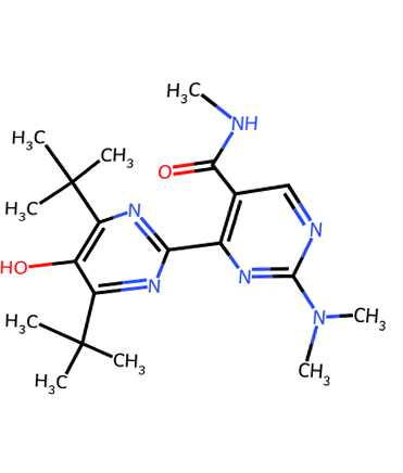 CNC(=O)c1cnc(N(C)C)nc1-c1nc(C(C)(C)C)c(O)c(C(C)(C)C)n1